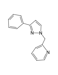 c1ccc(-c2ccn(Cc3ccccn3)n2)cc1